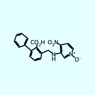 O=C(O)c1c(CNc2c[n+]([O-])ccc2[N+](=O)[O-])cccc1-c1ccccc1